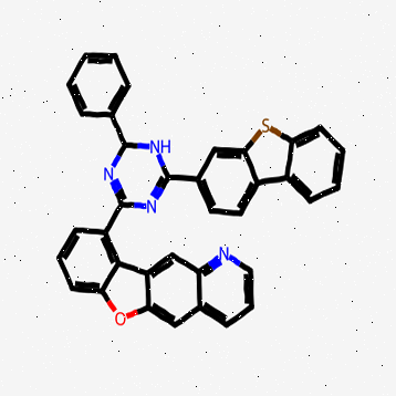 c1ccc(C2N=C(c3cccc4oc5cc6cccnc6cc5c34)N=C(c3ccc4c(c3)sc3ccccc34)N2)cc1